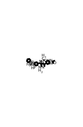 CC(C)n1nc(-c2ccc(NS(=O)(=O)c3ccccc3F)c(F)c2)c2c(N)ncc(-c3ccc(NC4COC4)cc3)c21